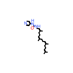 CC(C)=CCCC(C)=CCCC(C)=CCCC(C)=CCNC(=O)Nc1ccncc1